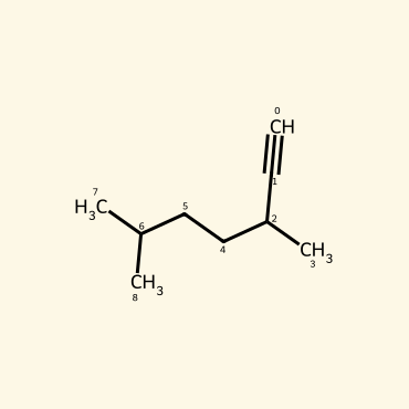 C#CC(C)CCC(C)C